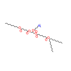 CCCCCCCCCOC(=O)CCCC(=O)OCC(COC(=O)CCCCCC(=O)OC(CCCCCCCC)CCCCCCCC)OC(=O)CCCN(C)C